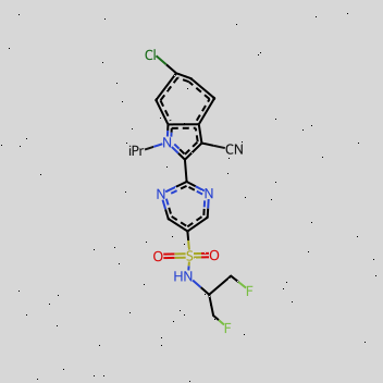 CC(C)n1c(-c2ncc(S(=O)(=O)NC(CF)CF)cn2)c(C#N)c2ccc(Cl)cc21